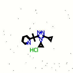 CC(C)(c1ccccn1)c1nnc(C2CC2)n1C1CC1.Cl